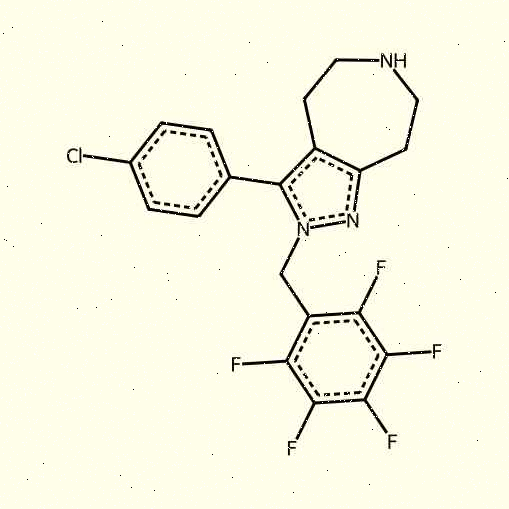 Fc1c(F)c(F)c(Cn2nc3c(c2-c2ccc(Cl)cc2)CCNCC3)c(F)c1F